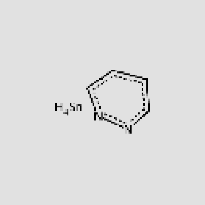 [SnH4].c1ccnnc1